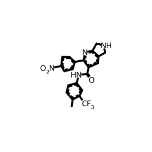 Cc1ccc(NC(=O)c2cc3c(nc2-c2ccc([N+](=O)[O-])cc2)CNC3)cc1C(F)(F)F